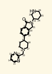 O=C1c2ccc(C3CCN(Cc4ncccn4)CC3)cc2CN1C1CCCNC1